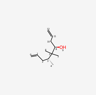 C=CC[C@@H](C)C(C)(C)[C@H](O)CC=C